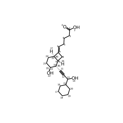 O=C(O)CCCC=C1C[C@H]2[C@H](C#CC(O)C3CCCCC3)[C@@H](O)CC[C@@H]12